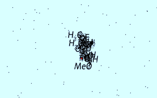 COCCNS(=O)(=O)Nc1nccc(Cc2cc(C(=O)NC3CC3)c(Nc3ccc(C)cc3F)n(C)c2=O)c1F